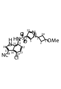 COC1CC(n2cc(S(=O)(=O)Nc3ccc(Cl)c4c(C#N)c[nH]c34)cn2)C1